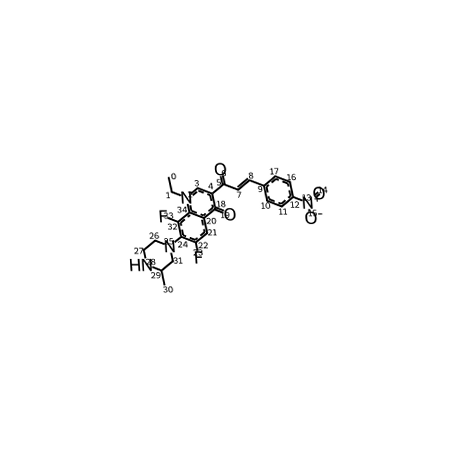 CCn1cc(C(=O)C=Cc2ccc([N+](=O)[O-])cc2)c(=O)c2cc(F)c(N3CCNC(C)C3)c(F)c21